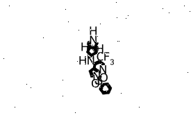 O=S(=O)(c1ccccc1)n1ccc2c(N[C@@H]3C[C@H]4CNC[C@H]4C3)c(C(F)(F)F)cnc21